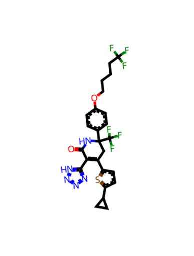 O=C1NC(c2ccc(OCCCCC(F)(F)F)cc2)(C(F)(F)F)CC(c2ccc(C3CC3)s2)=C1c1nnn[nH]1